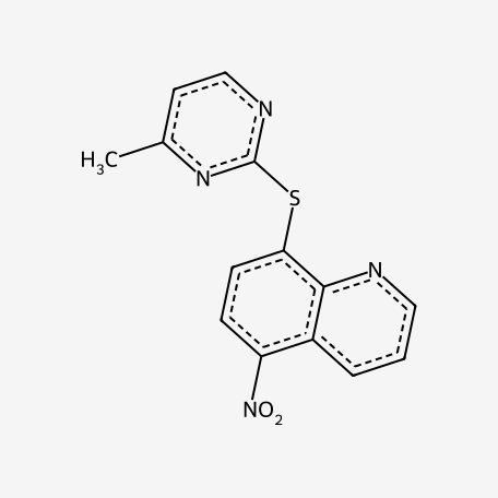 Cc1ccnc(Sc2ccc([N+](=O)[O-])c3cccnc23)n1